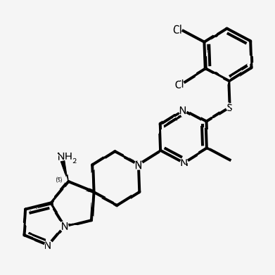 Cc1nc(N2CCC3(CC2)Cn2nccc2[C@H]3N)cnc1Sc1cccc(Cl)c1Cl